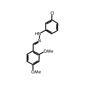 COc1ccc(C=NNc2cccc(Cl)c2)c(OC)c1